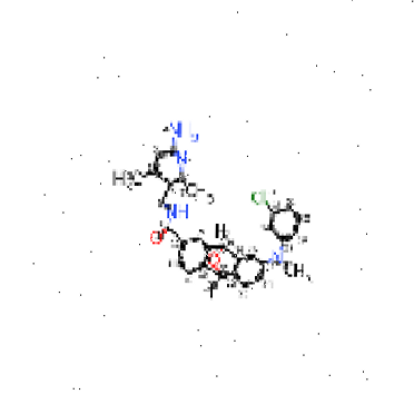 Cc1cc(N)nc(C)c1CNC(=O)c1ccc2c(c1)[C@@H]1O[C@H]2c2ccc(N(C)c3cccc(Cl)c3)cc21